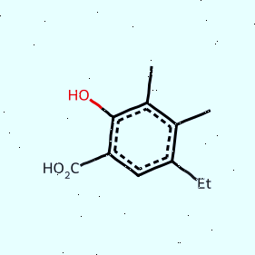 CCc1cc(C(=O)O)c(O)c(C)c1C